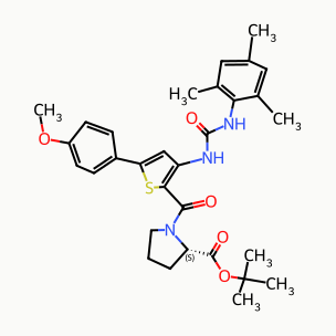 COc1ccc(-c2cc(NC(=O)Nc3c(C)cc(C)cc3C)c(C(=O)N3CCC[C@H]3C(=O)OC(C)(C)C)s2)cc1